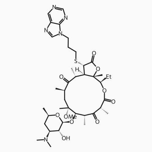 CC[C@H]1OC(=O)[C@H](C)C(=O)[C@H](C)[C@@H](O[C@@H]2O[C@H](C)C[C@H](N(C)C)[C@H]2O)[C@](C)(OC)C[C@@H](C)C(=O)[C@H](C)[C@H]2[C@H](SCCCn3cnc4cncnc43)C(=O)O[C@@]21C